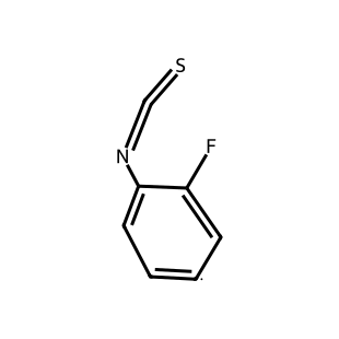 Fc1c[c]ccc1N=C=S